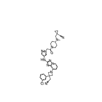 CN(CC1(C#N)CC1)C1CCN(C(=O)Cn2cc(Nc3nc4c(N5CC(CC#N)(c6cccc(Cl)c6)C5)cccn4n3)cn2)CC1